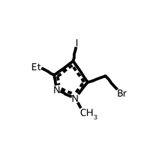 CCc1nn(C)c(CBr)c1I